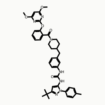 COc1cc(OC)nc(Oc2ccccc2C(=O)N2CCC(Cc3cccc(NC(=O)Nc4cc(C(C)(C)C)nn4-c4ccc(C)cc4)c3)CC2)n1